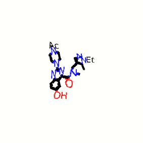 CCn1ncc(CN(C)C(=O)c2nc(N3CCN(C(C)=O)CC3)nc3ccc(O)cc23)c1C